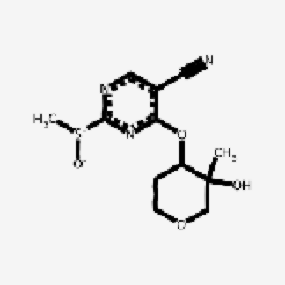 C[S+]([O-])c1ncc(C#N)c(OC2CCOCC2(C)O)n1